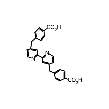 O=C(O)c1ccc(Cc2ccnc(-c3cc(Cc4ccc(C(=O)O)cc4)ccn3)c2)cc1